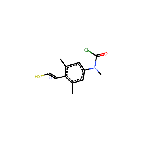 Cc1cc(N(C)C(=O)Cl)cc(C)c1/C=C/S